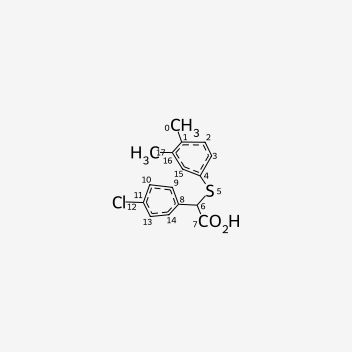 Cc1ccc(SC(C(=O)O)c2ccc(Cl)cc2)cc1C